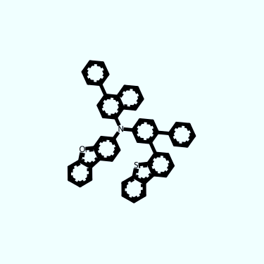 c1ccc(-c2ccc(N(c3ccc4c(c3)oc3ccccc34)c3ccc(-c4ccccc4)c4ccccc34)cc2-c2cccc3c2sc2ccccc23)cc1